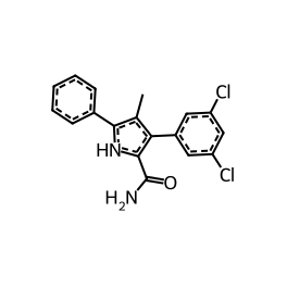 Cc1c(-c2ccccc2)[nH]c(C(N)=O)c1-c1cc(Cl)cc(Cl)c1